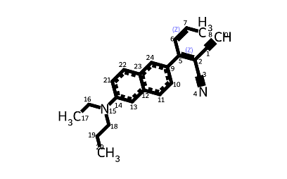 C#C/C(C#N)=C(\C=C/C)c1ccc2cc(N(CC)CCC)ccc2c1